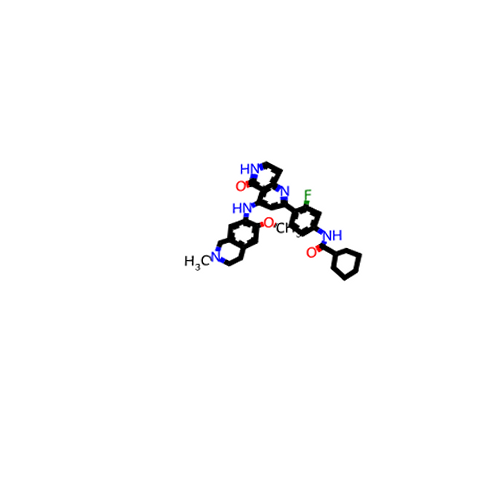 COc1cc2c(cc1Nc1cc(-c3ccc(NC(=O)C4CCCCC4)cc3F)nc3cc[nH]c(=O)c13)CN(C)CC2